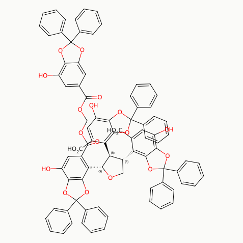 O=C(OCOC(=O)c1cc(O)c2c(c1[C@H]1OC[C@@H](c3c(C(=O)O)cc(O)c4c3OC(c3ccccc3)(c3ccccc3)O4)[C@@H]1c1c(C(=O)O)cc(O)c3c1OC(c1ccccc1)(c1ccccc1)O3)OC(c1ccccc1)(c1ccccc1)O2)c1cc(O)c2c(c1)OC(c1ccccc1)(c1ccccc1)O2